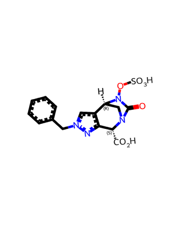 O=C(O)[C@@H]1c2nn(Cc3ccccc3)cc2[C@@H]2CN1C(=O)N2OS(=O)(=O)O